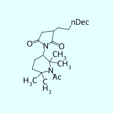 CCCCCCCCCCCCC1CC(=O)N(C2CCC(C)(C)N(C(C)=O)C2(C)C)C1=O